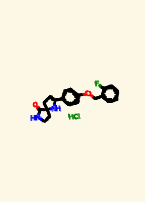 Cl.O=C1NCCC12CCC(c1ccc(OCc3ccccc3F)cc1)N2